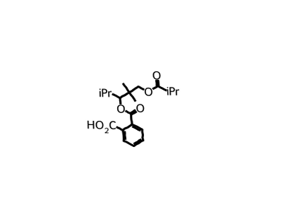 CC(C)C(=O)OCC(C)(C)C(OC(=O)c1ccccc1C(=O)O)C(C)C